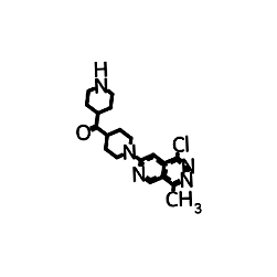 Cc1nnc(Cl)c2cc(N3CCC(C(=O)C4CCNCC4)CC3)ncc12